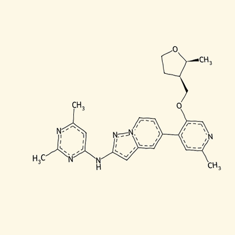 Cc1cc(-c2ccn3nc(Nc4cc(C)nc(C)n4)cc3c2)c(OC[C@H]2CCO[C@H]2C)cn1